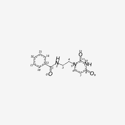 O=C(NCCn1ccc(=O)[nH]c1=O)c1ccccc1